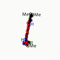 COc1ccc2c(c1)C(c1ccc(Cl)cc1)=N[C@@H](CC(=O)NCCOCCOCCOCCOCCOCCOCCNC(=O)COc1cccc([CH]CCc3ccc(OC)c(OC)c3)c1)c1nnc(C)n1-2